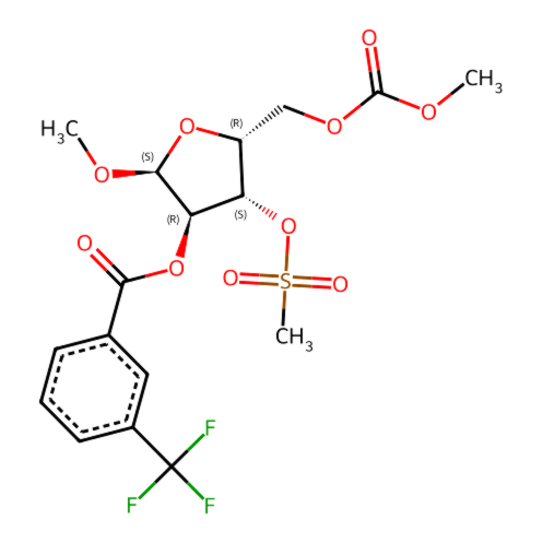 COC(=O)OC[C@H]1O[C@H](OC)[C@H](OC(=O)c2cccc(C(F)(F)F)c2)[C@H]1OS(C)(=O)=O